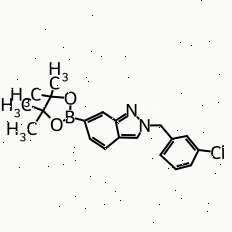 CC1(C)OB(c2ccc3cn(Cc4cccc(Cl)c4)nc3c2)OC1(C)C